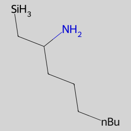 CCCCCCCC(N)C[SiH3]